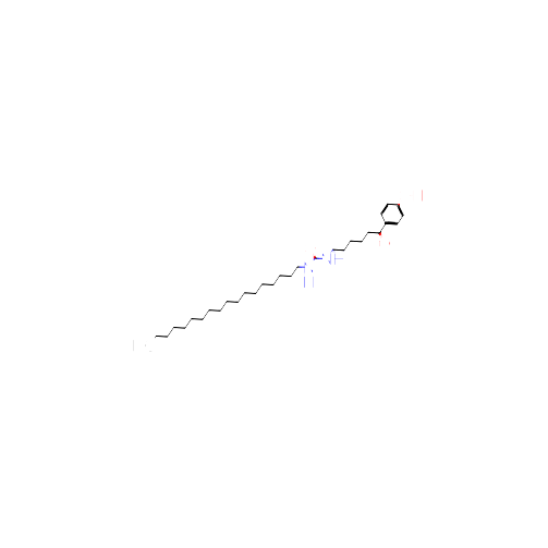 CCCCCCCCCCCCCCCCCCNC(=O)NCCCCCC(=O)c1ccc(O)cc1